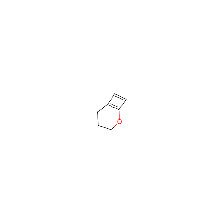 C1=CC2=C1CCCO2